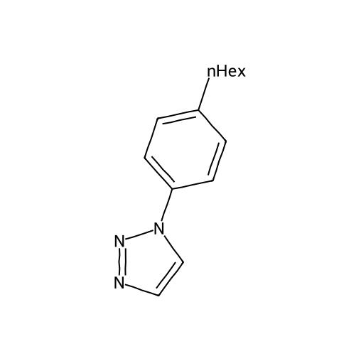 CCCCCCc1ccc(-n2ccnn2)cc1